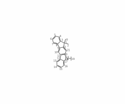 CC1(C)c2ccccc2-c2cc3c4ccccc4n(I)c3cc21